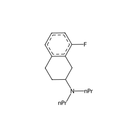 CCCN(CCC)C1CCc2cccc(F)c2C1